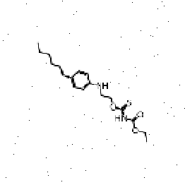 CCCCCCc1ccc(NCCOC(=S)NC(=O)OCC)cc1